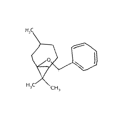 CC1CCC2C(C)(C)C2(O[CH]c2ccccc2)C1